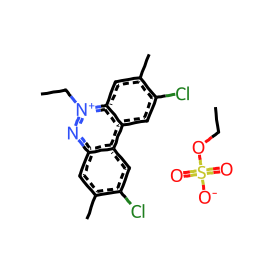 CCOS(=O)(=O)[O-].CC[n+]1nc2cc(C)c(Cl)cc2c2cc(Cl)c(C)cc21